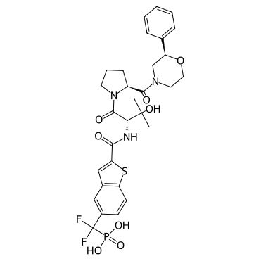 CC(C)(O)[C@H](NC(=O)c1cc2cc(C(F)(F)P(=O)(O)O)ccc2s1)C(=O)N1CCC[C@H]1C(=O)N1CCO[C@H](c2ccccc2)C1